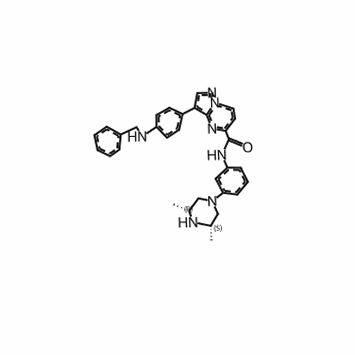 C[C@@H]1CN(c2cccc(NC(=O)c3ccn4ncc(-c5ccc(NCc6ccccc6)cc5)c4n3)c2)C[C@H](C)N1